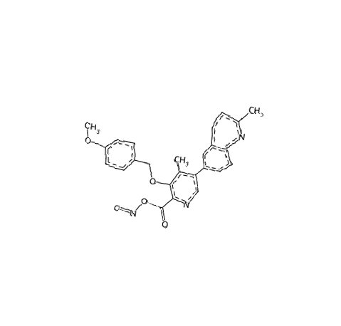 COc1ccc(COc2c(C(=O)ON=O)ncc(-c3ccc4nc(C)ccc4c3)c2C)cc1